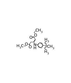 CCOC(=O)C=C(CC(=O)OCC)Nc1ccc(C(C)(C)C)cc1